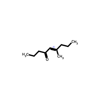 CCCC(=O)/C=C(\C)CCC